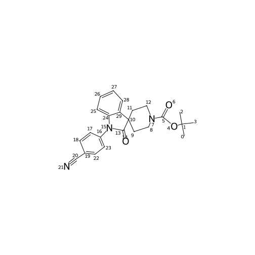 CC(C)(C)OC(=O)N1CCC2(CC1)C(=O)N(c1ccc(C#N)cc1)c1ccccc12